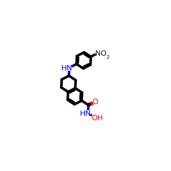 O=C(NO)c1ccc2c(c1)CC(Nc1ccc([N+](=O)[O-])cc1)CC2